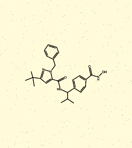 CC(C)C(NC(=O)c1cc(C(C)(C)C)nn1Cc1ccccc1)c1ccc(C(=O)NO)cc1